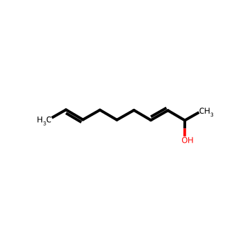 C/C=C/CCC/C=C/C(C)O